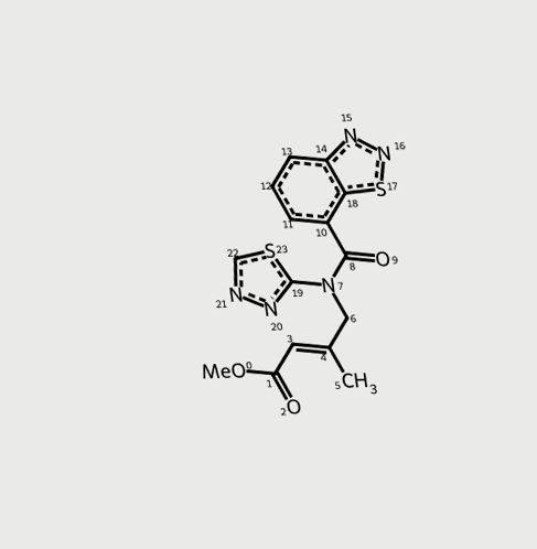 COC(=O)C=C(C)CN(C(=O)c1cccc2nnsc12)c1nncs1